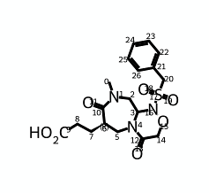 CN1CC2N(C[C@@H](CCC(=O)O)C1=O)C(=O)CON2S(=O)(=O)Cc1ccccc1